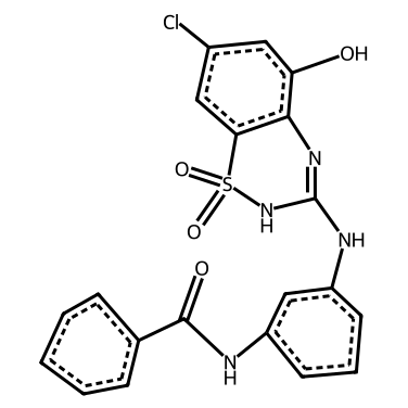 O=C(Nc1cccc(NC2=Nc3c(O)cc(Cl)cc3S(=O)(=O)N2)c1)c1ccccc1